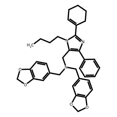 CCCCn1c(C2=CCCCC2)nc(-c2ccccc2)c1CN(Cc1ccc2c(c1)OCO2)Cc1ccc2c(c1)OCO2